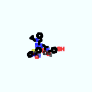 COc1cc(C(=O)N2CC3CCC2[C@]3(N)S)cc2nc(-c3cc4ccccc4n3CC3CC3)n(CC3CN(C(=O)c4ccc(O)cc4)C3)c12